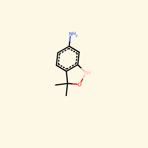 CC1(C)OBc2cc(N)ccc21